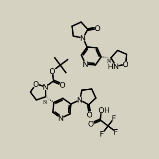 CC(C)(C)OC(=O)N1OCC[C@H]1c1cncc(N2CCCC2=O)c1.O=C(O)C(F)(F)F.O=C1CCCN1c1cncc([C@@H]2CCON2)c1